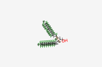 OCC(CSC(F)CC(F)(F)C(F)(F)C(F)(F)C(F)(F)C(F)(F)C(F)(F)C(F)(F)C(F)(F)F)SC(F)CC(F)(F)C(F)(F)C(F)(F)C(F)(F)C(F)(F)C(F)(F)C(F)(F)C(F)(F)F